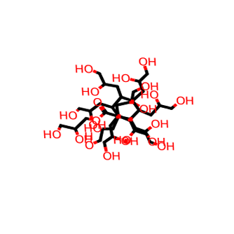 O=C(OCC(O)CO)C(CC(O)CO)(CC(O)CO)C(CC(O)CO)C(CC(O)CO)C(CC(O)CO)C(CC(O)CO)C(CC(O)CO)C(CC(O)CO)CC(O)CO